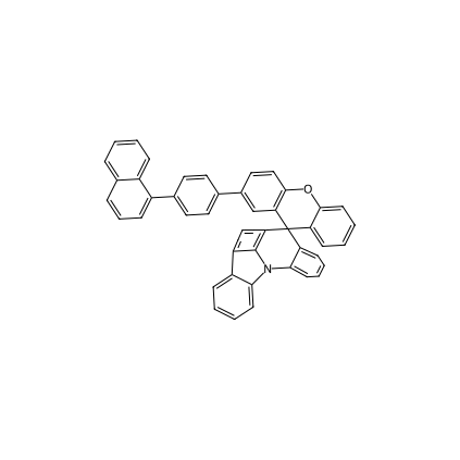 c1ccc2c(c1)Oc1ccc(-c3ccc(-c4cccc5ccccc45)cc3)cc1C21c2ccccc2-n2c3ccccc3c3cccc1c32